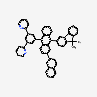 CC1(C)c2ccccc2-c2cc(-c3c4ccccc4c(-c4cc(-c5ccccn5)cc(-c5ccccn5)c4)c4ccc(-c5ccc6ccccc6c5)cc34)ccc21